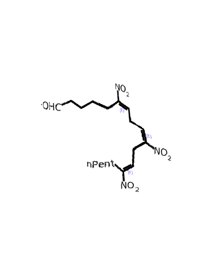 CCCCC/C(=C\C/C(=C\C/C=C(\CCCC[C]=O)[N+](=O)[O-])[N+](=O)[O-])[N+](=O)[O-]